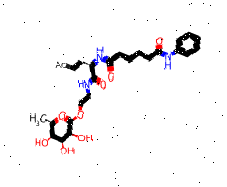 CC(=O)CC[C@H](NC(=O)CCCCC(=O)Nc1ccccc1)C(=O)NCCO[C@@H]1O[C@@H](C)[C@@H](O)[C@@H](O)[C@@H]1O